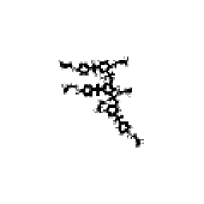 CCC(C)(Cc1cc(C(C)(C)c2ccc(OCC3CO3)cc2)cc(C(C)(CC)Cc2cc(C(C)(C)c3ccc(OCC4CO4)cc3)ccc2OCC2CO2)c1OCC1CO1)c1cc(C(C)(C)c2ccc(OCC3CO3)cc2)ccc1OCC1CO1